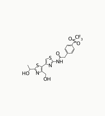 CC(O)c1nc(CO)c(-c2csc(NC(=O)Cc3ccc(S(=O)(=O)C(F)(F)F)cc3)n2)s1